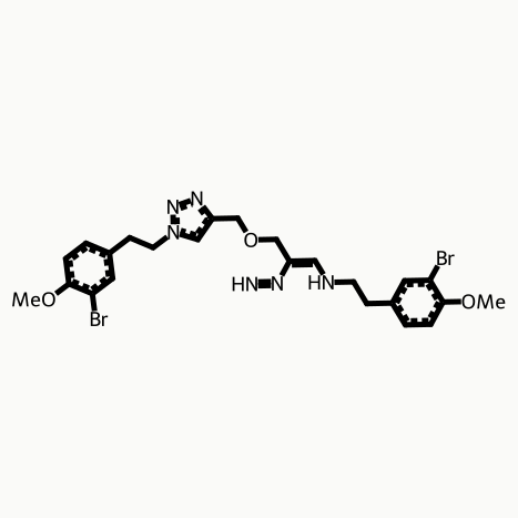 COc1ccc(CCN/C=C(/COCc2cn(CCc3ccc(OC)c(Br)c3)nn2)N=N)cc1Br